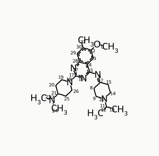 COc1cc2c(N=C3CCN(C(C)C)CC3)nc(N3CCC(N(C)C)CC3)nc2cc1C